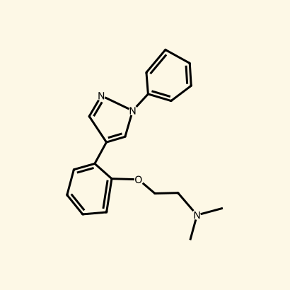 CN(C)CCOc1ccccc1-c1cnn(-c2ccccc2)c1